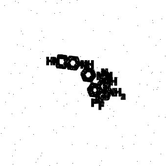 NS(=O)(=O)c1c(C(F)(F)F)ccc([C@H]2CC[C@H](NC3CCC4(CCNCC4)CC3)CC2)c1-c1nnn[nH]1